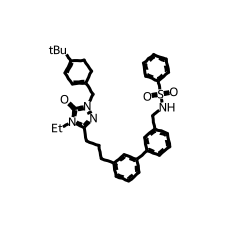 CCn1c(CCCc2cccc(-c3cccc(CNS(=O)(=O)c4ccccc4)c3)c2)nn(CC2=CC=C(C(C)(C)C)CC2)c1=O